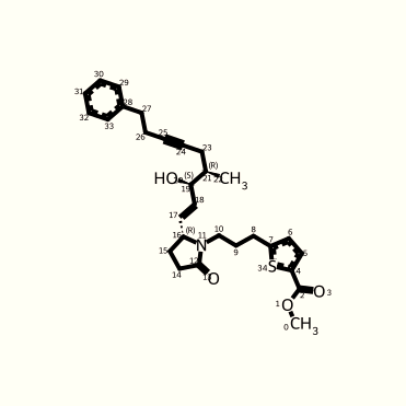 COC(=O)c1ccc(CCCN2C(=O)CC[C@@H]2C=C[C@@H](O)[C@H](C)CC#CCCc2ccccc2)s1